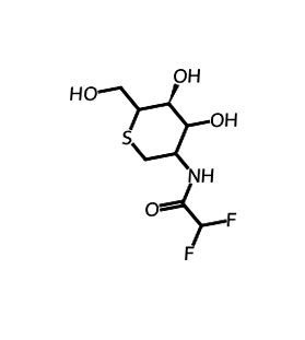 O=C(NC1CSC(CO)[C@@H](O)C1O)C(F)F